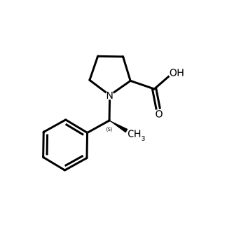 C[C@@H](c1ccccc1)N1CCCC1C(=O)O